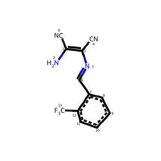 N#CC(N)=C(C#N)N=Cc1ccccc1C(F)(F)F